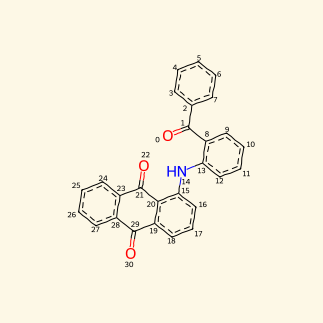 O=C(c1ccccc1)c1ccccc1Nc1cccc2c1C(=O)c1ccccc1C2=O